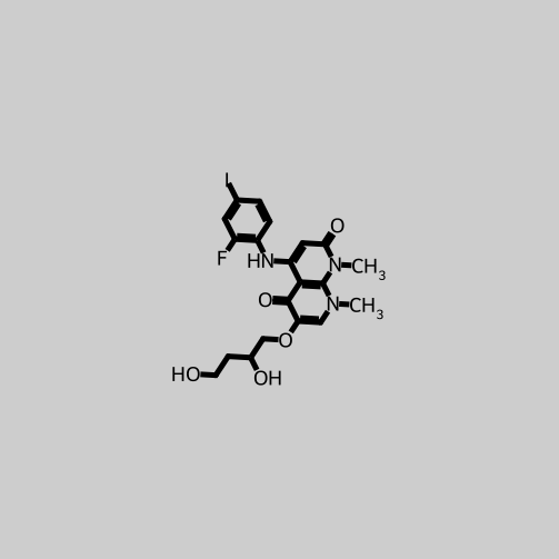 Cn1cc(OCC(O)CCO)c(=O)c2c(Nc3ccc(I)cc3F)cc(=O)n(C)c21